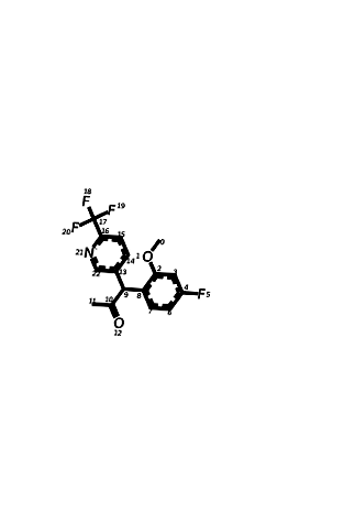 COc1cc(F)ccc1C(C(C)=O)c1ccc(C(F)(F)F)nc1